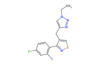 CCn1cc(Cc2csnc2-c2ccc(F)cc2I)nn1